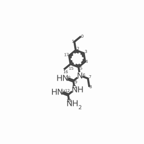 CCc1ccc(N(CC)C(=N)NC(=N)N)c(C)c1